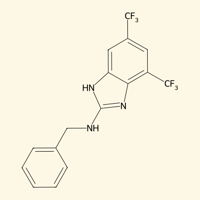 FC(F)(F)c1cc(C(F)(F)F)c2nc(NCc3ccccc3)[nH]c2c1